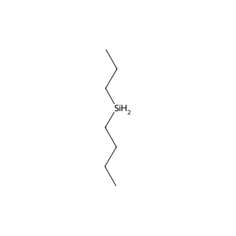 CCCC[SiH2]CCC